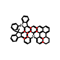 CC1(C)c2ccccc2-c2ccc(-c3ccccc3N(c3ccccc3-c3ccc4c5ccccc5n(-c5ccccc5)c4c3)c3ccccc3-c3cccc4cccc(C5CCCCC5)c34)cc21